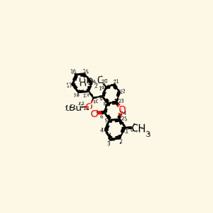 Cc1cccc2c(=O)c3c(C(OC(C)(C)C)c4ccccc4)c(C(=O)O)ccc3oc12